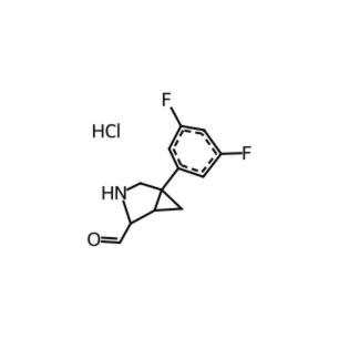 Cl.O=CC1NCC2(c3cc(F)cc(F)c3)CC12